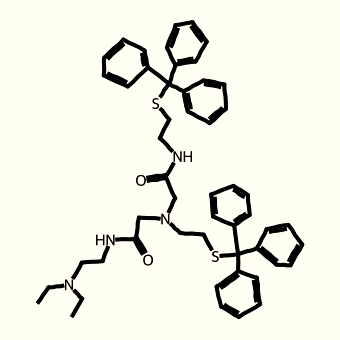 CCN(CC)CCNC(=O)CN(CCSC(c1ccccc1)(c1ccccc1)c1ccccc1)CC(=O)NCCSC(c1ccccc1)(c1ccccc1)c1ccccc1